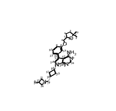 CC1(C)CCC(COc2cccc(-c3cn([C@H]4C[C@@H](CN5CC(F)C5)C4)c4ncnc(N)c34)c2)O1